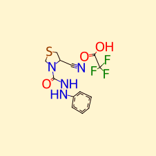 N#CC1CSCN1C(=O)NNc1ccccc1.O=C(O)C(F)(F)F